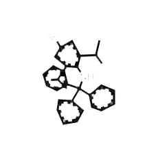 CC(C)c1cc(Br)cc(C(C)C)c1NC(c1ccccc1)(c1ccccc1)c1ccccc1